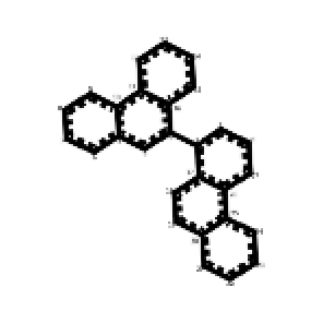 [c]1cc(-c2cc3ccccc3c3ccccc23)c2ccc3ccccc3c2c1